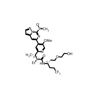 CCN(C(=O)N[C@H](CCOCCO)CCC(F)(F)F)[C@H](C)c1cc(-c2cc3ccnn3c([S+](C)[O-])n2)c(OC)cn1